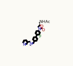 CC(=O)NC[C@H]1CN(c2ccc(-c3ccc(CN(C)Cc4cccnc4)cc3)c(F)c2)C(=O)O1